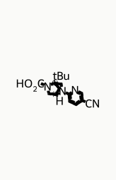 CC(C)(C)[C@]12C[C@@H](CN1C(=O)O)N(c1ccc(C#N)cn1)C2